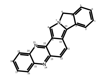 c1ccc2c(c1)Cn1cc3c(ccc4nc5ccccc5nc43)c1-2